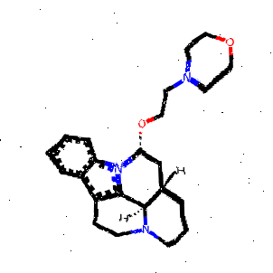 c1ccc2c(c1)c1c3n2[C@H](OCCN2CCOCC2)C[C@@H]2CCCN(CC1)[C@@H]32